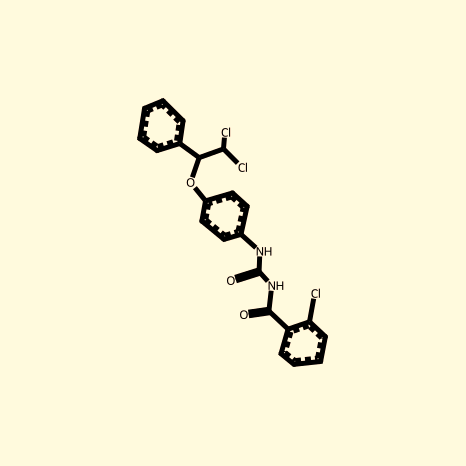 O=C(NC(=O)c1ccccc1Cl)Nc1ccc(OC(c2ccccc2)C(Cl)Cl)cc1